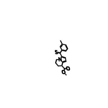 COC(=O)C1CCCn2c(C(=S)c3cccc(C)c3)ccc21